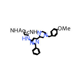 COc1ccc(CN2CCN(NC(C)=O)C(c3cc(NCCNC(C)=O)nc(-c4ccccc4)n3)C2)cc1